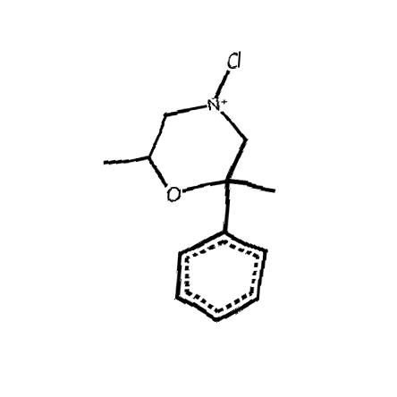 CC1C[N+](Cl)CC(C)(c2ccccc2)O1